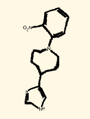 O=[N+]([O-])c1ccccc1N1CCC(c2c[nH]cn2)CC1